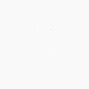 Cc1cc(CC#N)c(C#N)cn1